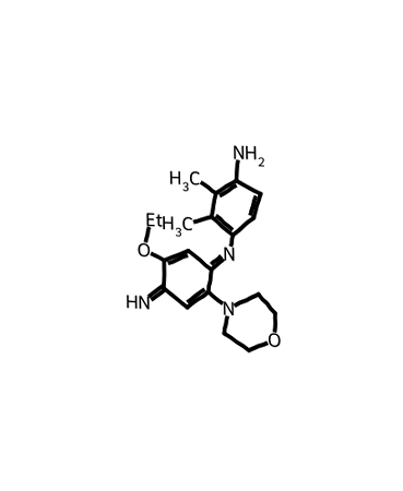 CCOC1=C/C(=N\c2ccc(N)c(C)c2C)C(N2CCOCC2)=CC1=N